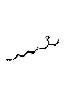 CCCCCCCC=COCC(O)CO